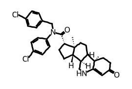 C[C@]12CC[C@H]3[C@@H](CNC4=CC(=O)CC[C@@]43C)[C@@H]1CC[C@@H]2C(=O)N(Cc1ccc(Cl)cc1)c1ccc(Cl)cc1